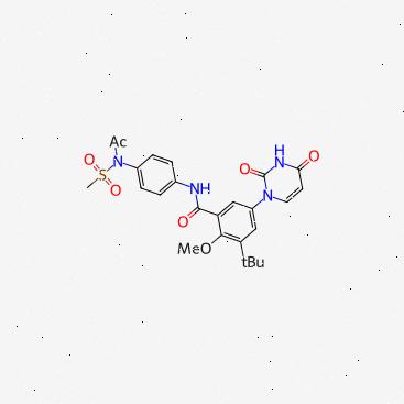 COc1c(C(=O)Nc2ccc(N(C(C)=O)S(C)(=O)=O)cc2)cc(-n2ccc(=O)[nH]c2=O)cc1C(C)(C)C